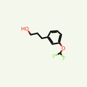 OCCCc1cccc(OC(F)F)c1